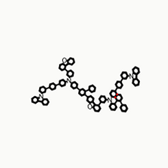 c1ccc(-c2cc(-c3ccc(N(c4ccc(-c5ccc(-c6cccc(-n7c8ccccc8c8ccccc87)c6)cc5)cc4)c4cccc(-c5cccc6oc7ccccc7c56)c4)cc3)ccc2-c2ccc3c(c2)oc2cccc(-c4cccc(N(c5ccc(-c6ccc(-c7cccc(-n8c9ccccc9c9ccccc98)c7)cc6)cc5)c5ccccc5-c5ccccc5-c5ccccc5)c4)c23)cc1